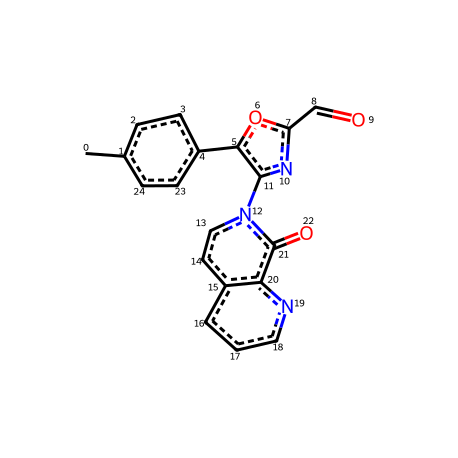 Cc1ccc(-c2oc(C=O)nc2-n2ccc3cccnc3c2=O)cc1